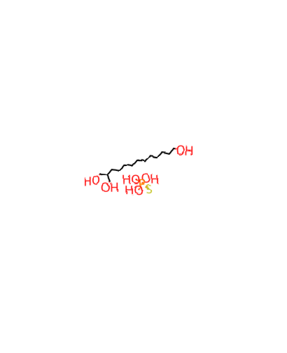 OCCCCCCCCCCCC(CO)CO.OP(O)(O)=S